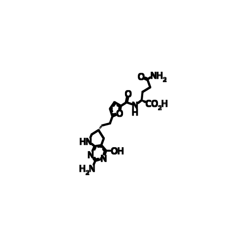 NC(=O)CC[C@H](NC(=O)c1ccc(CC[C@H]2CNc3nc(N)nc(O)c3C2)o1)C(=O)O